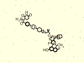 CCc1c(F)ccc2cc(O)cc(-c3ncc4c(N5CC6CCC(C5)N6)nc(OCC5(CN6CC7(CCC(N8CCN(c9ccc(C(=O)N(C)C%10CCC(=O)NC%10=O)cc9)CC8)CC7)C6)CC5)nc4c3F)c12